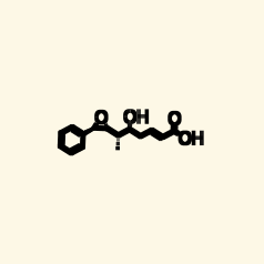 C[C@H]([C@H]1O[C@@H]1c1ccccc1)[C@@H](O)C/C=C/C(=O)O